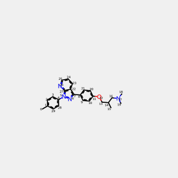 Cc1ccc(-n2nc(-c3ccc(OCC(C)CN(C)C)cc3)c3cccnc32)cc1